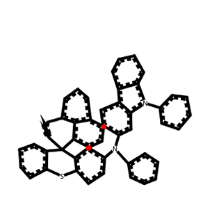 c1ccc(N(c2ccc3c(c2)C2(c4ccccc4S3)c3ccccc3-c3cccc4cccc2c34)c2ccc3c4ccccc4n(-c4ccccc4)c3c2)cc1